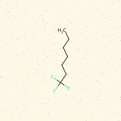 [CH2]CCCC[CH]C(F)(F)F